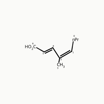 CCCC=C(C)C=CC(=O)O